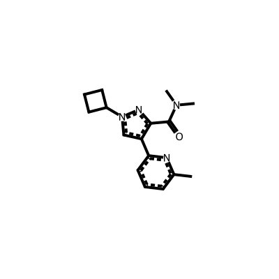 Cc1cccc(-c2cn(C3CCC3)nc2C(=O)N(C)C)n1